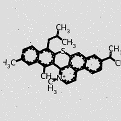 Cc1ccc2c(CC(C)C)c3c(c(C)c2c1)-c1c2c(cc4cc(C(C)C)ccc4c2cc[n+]1C)S3